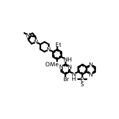 CCc1cc(Nc2ncc(Br)c(Nc3ccc4nccnc4c3P(C)(C)=S)n2)c(OC)cc1N1CCC(N2CC3CC2CN3C)CC1